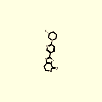 O=C1NCCc2nc(-c3ccc(N4CCC[C@@H](F)C4)nc3)sc21